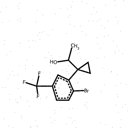 CC(O)C1(c2cc(C(F)(F)F)ccc2Br)CC1